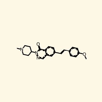 COc1ccc(/C=C/c2ccc3c(=O)n(C4CCN(C)CC4)ncc3c2)cc1